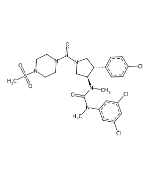 CN(C(=O)N(C)[C@H]1CN(C(=O)N2CCN(S(C)(=O)=O)CC2)C[C@@H]1c1ccc(Cl)cc1)c1cc(Cl)cc(Cl)c1